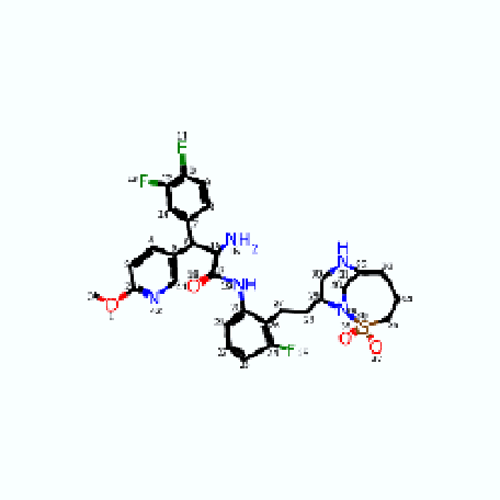 COc1ccc(C(c2ccc(F)c(F)c2)C(N)C(=O)Nc2cccc(F)c2CCC2CNC3CCCS(=O)(=O)N2C3)cn1